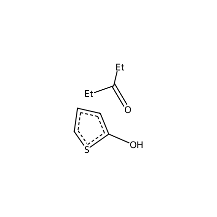 CCC(=O)CC.Oc1cccs1